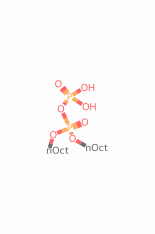 CCCCCCCCOP(=O)(OCCCCCCCC)OP(=O)(O)O